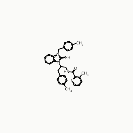 Cc1ccc(CC(CNC(=O)c2ncccc2C)n2c(=N)n(Cc3ccc(C)cc3)c3ccccc32)cc1